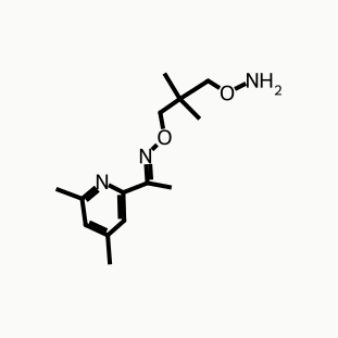 CC(=NOCC(C)(C)CON)c1cc(C)cc(C)n1